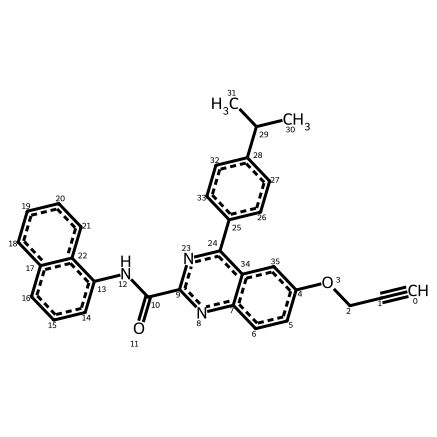 C#CCOc1ccc2nc(C(=O)Nc3cccc4ccccc34)nc(-c3ccc(C(C)C)cc3)c2c1